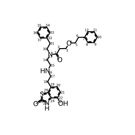 O=C(CCOCCc1ccccc1)N(CCNCCc1ccc(O)c2[nH]c(=O)sc12)CCc1ccccc1